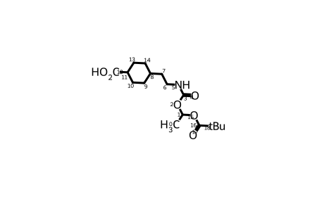 CC(OC(=O)NCCC1CCC(C(=O)O)CC1)OC(=O)C(C)(C)C